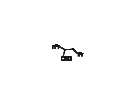 CCCC(C=O)CC(C)C